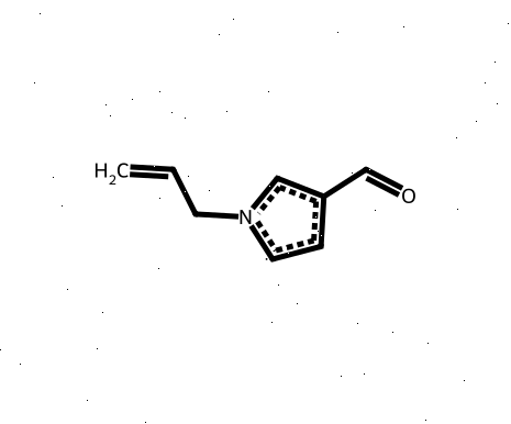 C=CCn1[c]cc(C=O)c1